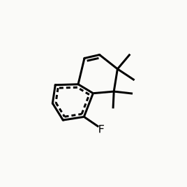 CC1(C)C=Cc2cccc(F)c2C1(C)C